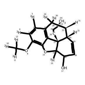 [2H]c1c([2H])c2c3c(c1OC([2H])([2H])[2H])OC1([2H])C(O)C=C[C@@]4([2H])[C@H](N(C)CC[C@]314)C2([2H])[2H]